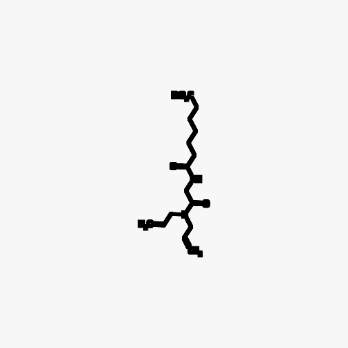 C=CCN(CC=C)C(=O)CNC(=O)CCCCCC(=O)OCC